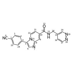 N#Cc1ccc(-c2cnc3cc(C(=O)NCc4ccnnc4)ccn23)cc1